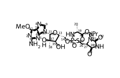 COc1nc(N)nc2c1ncn2[C@@H]1O[C@H](CO[P@](=O)(N[C@H](C)C(=O)OC(C)C)SC[C@@H]2C(=O)NC(=O)N2C)[C@@H](O)[C@@]1(C)O